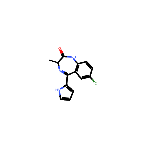 CC1N=C(c2ccc[nH]2)c2cc(Cl)ccc2NC1=O